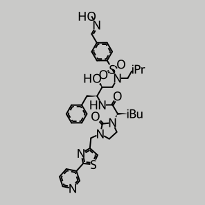 CC[C@H](C)[C@@H](C(=O)N[C@@H](Cc1ccccc1)[C@@H](O)CN(CC(C)C)S(=O)(=O)c1ccc(C=NO)cc1)N1CCN(Cc2csc(-c3cccnc3)n2)C1=O